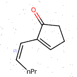 CCC/C=C\C1=CCCC1=O